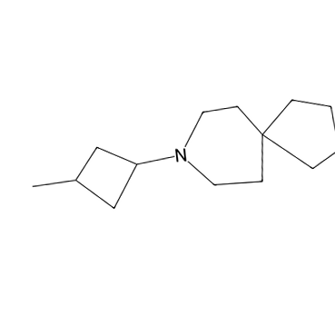 CC1CC(N2CCC3(CCCC3)CC2)C1